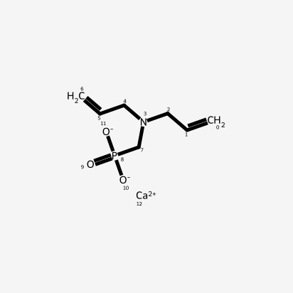 C=CCN(CC=C)CP(=O)([O-])[O-].[Ca+2]